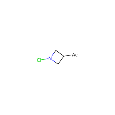 CC(=O)C1CN(Cl)C1